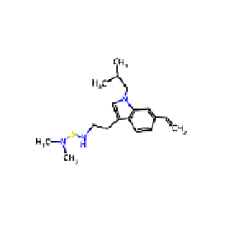 C=Cc1ccc2c(CCNSN(C)C)cn(CC(C)C)c2c1